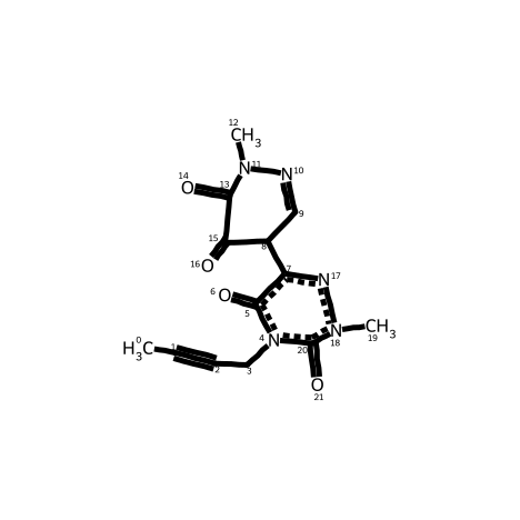 CC#CCn1c(=O)c(C2C=NN(C)C(=O)C2=O)nn(C)c1=O